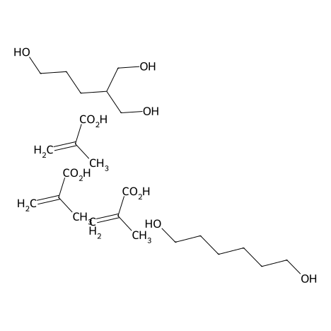 C=C(C)C(=O)O.C=C(C)C(=O)O.C=C(C)C(=O)O.OCCCC(CO)CO.OCCCCCCO